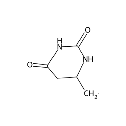 [CH2]C1CC(=O)NC(=O)N1